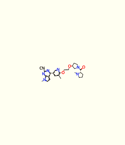 Cc1cc(-c2nc(C#N)nc3c2ccn3C)cnc1OCCO[C@H]1CCN(C(=O)[C@@H]2CCCN2C)C1